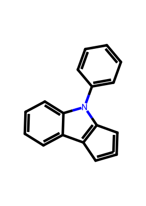 C1=Cc2c(n(-c3ccccc3)c3ccccc23)C=1